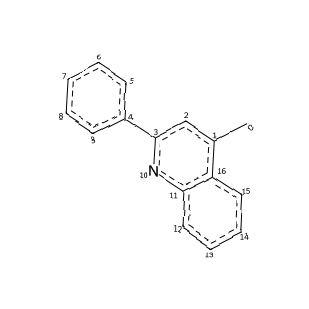 Cc1cc(-c2ccccc2)nc2ccccc12